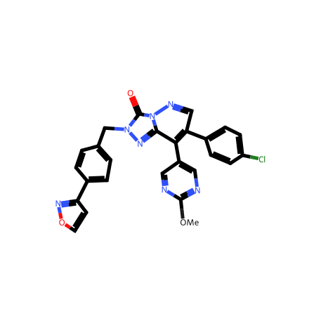 COc1ncc(-c2c(-c3ccc(Cl)cc3)cnn3c(=O)n(Cc4ccc(-c5ccon5)cc4)nc23)cn1